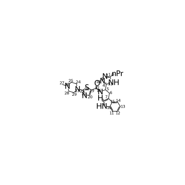 CCCc1nnc(C(Cc2c[nH]c3ccccc23)NC(=O)c2cnc(N3CCN(C)CC3)s2)[nH]1